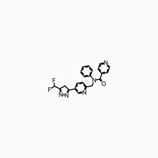 O=C(c1ccncc1)N(Cc1ccc(C2=NN=C(C(F)F)C2)cn1)c1ccccc1